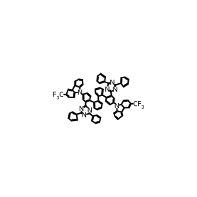 FC(F)(F)C1=CC2c3ccccc3N(c3ccc(-c4ccccc4-c4ccccc4-c4ccc(-n5c6ccccc6c6cc(C(F)(F)F)ccc65)cc4-c4nc(-c5ccccc5)nc(-c5ccccc5)n4)c(-c4nc(-c5ccccc5)nc(-c5ccccc5)n4)c3)C2C=C1